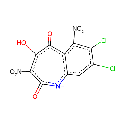 O=c1[nH]c2cc(Cl)c(Cl)c([N+](=O)[O-])c2c(=O)c(O)c1[N+](=O)[O-]